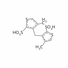 Cc1csc(S(=O)(=O)O)c1Cc1c(C)csc1S(=O)(=O)O